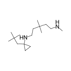 CNCCC(C)(C)CCNC1(CC(C)(C)C)CC1